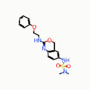 CN(C)S(=O)(=O)Nc1ccc2c(c1)COC(NCCOc1ccccc1)=N2